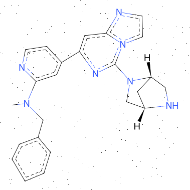 CN(Cc1ccccc1)c1cc(-c2cc3nccn3c(N3C[C@@H]4C[C@H]3CN4)n2)ccn1